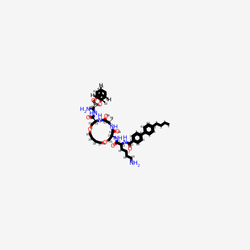 CCCCc1ccc(-c2ccc(C(=O)NC(CCCCN)C(=O)N[C@H]3COCCCCOC[C@@H](C(=O)N[C@@H](N)B4O[C@@H]5C[C@@H]6C[C@@H](C6(C)C)[C@]5(C)O4)NC(=O)[C@H](C)NC3=O)cc2)cc1